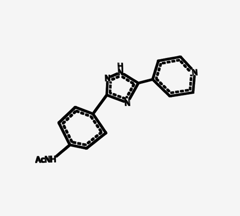 CC(=O)Nc1ccc(-c2n[nH]c(-c3ccncc3)n2)cc1